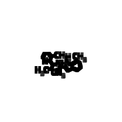 Cc1cccnc1C(NC(=O)c1cc2cccc(C)c2[nH]1)C(C)C